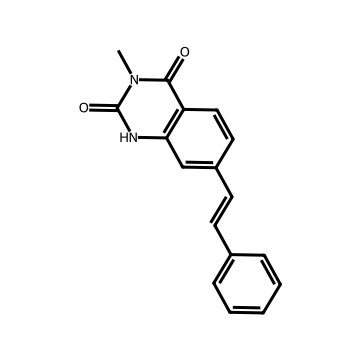 Cn1c(=O)[nH]c2cc(C=Cc3ccccc3)ccc2c1=O